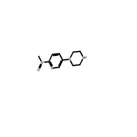 C[N+](=O)c1ccc(N2CCNCC2)cn1